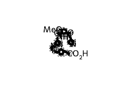 COc1ccc(C(=O)NCc2cccnc2)cc1C(=O)NCc1cccnc1.O=C(O)/C=C/c1ccc(Cn2ccnc2)cc1